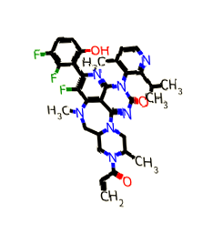 C=CC(=O)N1CC2CN(C)c3c(F)c(-c4c(O)ccc(F)c4F)nc4c3c(nc(=O)n4-c3c(C)ccnc3C(C)C)N2CC1C